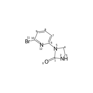 O=C1NCCN1c1cccc(Br)n1